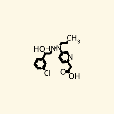 CCCN(NC[C@H](O)c1cccc(Cl)c1)c1ccc(CC(=O)O)nc1